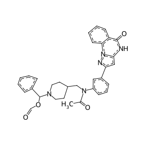 CC(=O)N(CC1CCN(C(OC=O)c2ccccc2)CC1)c1cccc(-c2cc3[nH]c(=O)c4ccccc4n3n2)c1